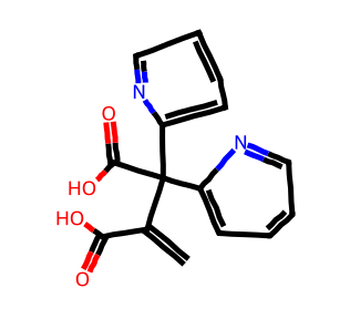 C=C(C(=O)O)C(C(=O)O)(c1ccccn1)c1ccccn1